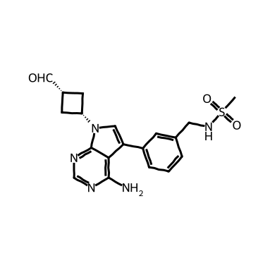 CS(=O)(=O)NCc1cccc(-c2cn([C@H]3C[C@@H](C=O)C3)c3ncnc(N)c23)c1